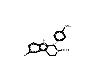 CCOC(=O)N1CCc2c([nH]c3ccc(Cl)cc23)[C@@H]1c1ccc(OC)cc1